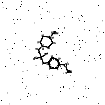 CCC(C)Oc1ccc(CC(F)(F)CN2CCN(C(C)CC)CC2)cc1